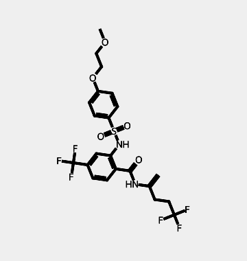 C=C(CCC(F)(F)F)NC(=O)c1ccc(C(F)(F)F)cc1NS(=O)(=O)c1ccc(OCCOC)cc1